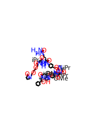 CC[C@H](C)[C@@H]([C@@H](CC(=O)N1CCC[C@H]1C(OC)[C@@H](C)C(=O)N[C@H](C)[C@@H](O)c1ccccc1)OC)N(C)C(=O)[C@@H](NC(=O)[C@H](C(C)C)N(C)C(=O)OCc1ccc(NC(=O)[C@H](CCCNC(N)=O)NC(=O)[C@@H](NC(=O)COCCOCCN2CC=CC2=O)C(C)C)cc1)C(C)C